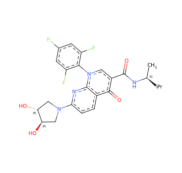 CC(C)[C@H](C)NC(=O)c1cn(-c2c(F)cc(F)cc2F)c2nc(N3C[C@@H](O)[C@H](O)C3)ccc2c1=O